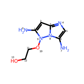 Nc1cc2ncc(N)n2n1OCCO